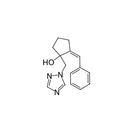 OC1(Cn2cncn2)CCC/C1=C/c1ccccc1